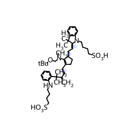 C=C(/C=C/C1=C(N(C)COC(C)(C)C)C(=C/C=C2/N(CCCCS(=O)(=O)O)c3ccccc3C2(C)C)/CC1)C(C)(C)c1ccccc1NCCCCS(=O)(=O)O